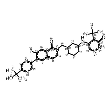 CC(C)(O)c1cnc(-c2cc3ccn(C[C@@H]4CCC[C@H](Nc5cn[nH]c(=O)c5C(F)(F)F)C4)c(=O)c3cc2F)cn1